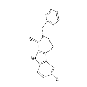 S=C1c2[nH]c3ccc(Cl)cc3c2CCN1Cc1ccccc1